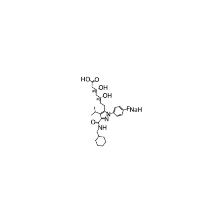 CC(C)c1c(C(=O)NCC2CCCCC2)nn(-c2ccc(F)cc2)c1CC[C@@H](O)C[C@@H](O)CC(=O)O.[NaH]